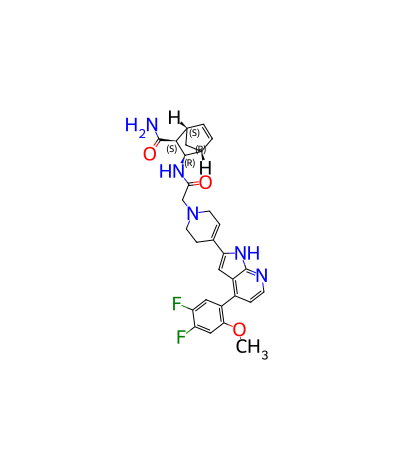 COc1cc(F)c(F)cc1-c1ccnc2[nH]c(C3=CCN(CC(=O)N[C@H]4[C@@H](C(N)=O)[C@@H]5C=C[C@H]4C5)CC3)cc12